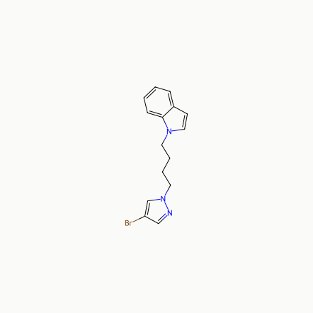 Brc1cnn(CCCCn2ccc3ccccc32)c1